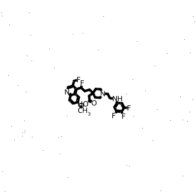 COc1ccc2ncc(CF)c(C(F)CCC3(CC(=O)O)CCN(CCNc4cc(F)c(F)c(F)c4)CC3)c2c1